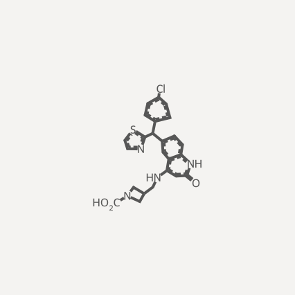 O=C(O)N1CC(CNc2cc(=O)[nH]c3ccc(C(c4ccc(Cl)cc4)c4nccs4)cc23)C1